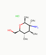 CC(=O)O[C@@H]1[C@@H](CO)O[C@@H](OC(C)=O)[C@](N)(OC(C)=O)[C@H]1OC(C)=O.Cl